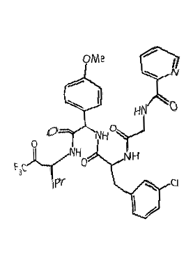 COc1ccc(C(NC(=O)C(Cc2cccc(Cl)c2)NC(=O)CNC(=O)c2ccccn2)C(=O)NC(C(=O)C(F)(F)F)C(C)C)cc1